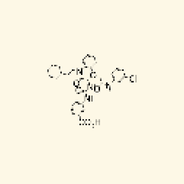 CN(C(=O)COc1ccccc1N(CCC1CCCCC1)C(=O)CNC(=O)Nc1cccc(C(=O)O)c1)c1cccc(Cl)c1